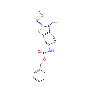 CCn1c(=NOC)sc2cc(NC(=O)OCc3ccccc3)ccc21